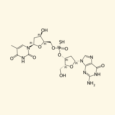 Cc1cn([C@H]2C[C@@H](O)[C@@H](CO[P@](=O)(S)O[C@@H]3C[C@H](n4cnc5c(=O)[nH]c(N)nc54)O[C@@H]3CO)O2)c(=O)[nH]c1=O